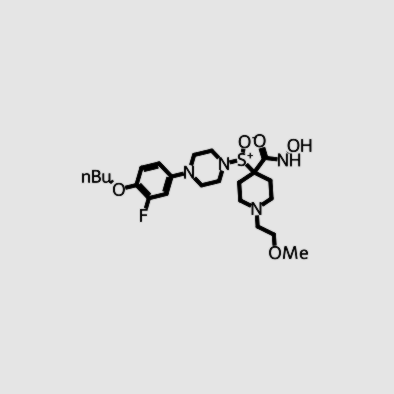 CCCCOc1ccc(N2CCN([S+]([O-])C3(C(=O)NO)CCN(CCOC)CC3)CC2)cc1F